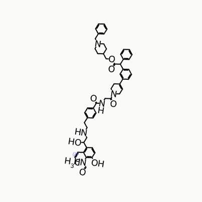 C/C=C\c1c(C(O)CNCCc2ccc(C(=O)NCC(=O)N3CC=C(c4cccc(C(C(=O)OCC5CCN(Cc6ccccc6)CC5)c5ccccc5)c4)CC3)cc2)ccc(O)c1NC=O